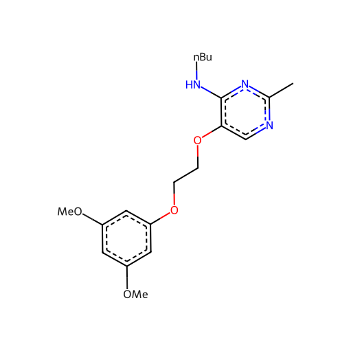 CCCCNc1nc(C)ncc1OCCOc1cc(OC)cc(OC)c1